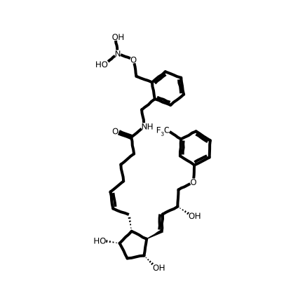 O=C(CCC/C=C\C[C@@H]1[C@@H](/C=C/[C@@H](O)COc2cccc(C(F)(F)F)c2)[C@H](O)C[C@@H]1O)NCc1ccccc1CON(O)O